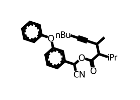 CCCCC#CC(C)C(C(=O)OC(C#N)c1cccc(Oc2ccccc2)c1)C(C)C